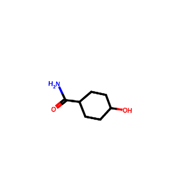 NC(=O)C1CCC(O)CC1